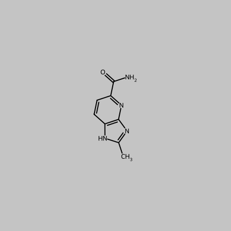 Cc1nc2nc(C(N)=O)ccc2[nH]1